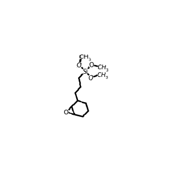 CO[Si](CCCC1CCCC2OC12)(OC)OC